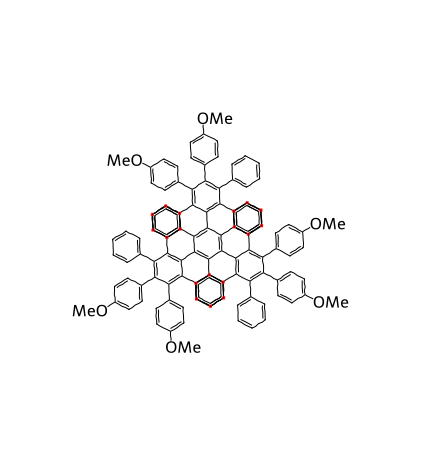 COc1ccc(-c2c(-c3ccccc3)c(-c3ccccc3)c(-c3c(-c4ccccc4)c(-c4c(-c5ccccc5)c(-c5ccccc5)c(-c5ccc(OC)cc5)c(-c5ccc(OC)cc5)c4-c4ccccc4)c(-c4ccccc4)c(-c4c(-c5ccccc5)c(-c5ccccc5)c(-c5ccc(OC)cc5)c(-c5ccc(OC)cc5)c4-c4ccccc4)c3-c3ccccc3)c(-c3ccccc3)c2-c2ccc(OC)cc2)cc1